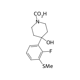 CSc1cccc(C2(O)CCN(C(=O)O)CC2)c1F